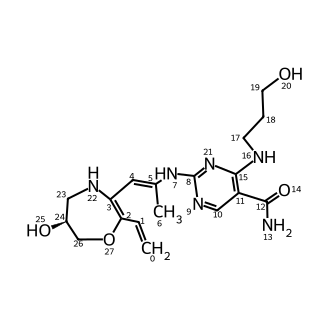 C=CC1=C(/C=C(\C)Nc2ncc(C(N)=O)c(NCCCO)n2)NC[C@H](O)CO1